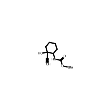 C#CC1(O)CCCCC1NC(=O)OC(C)(C)C